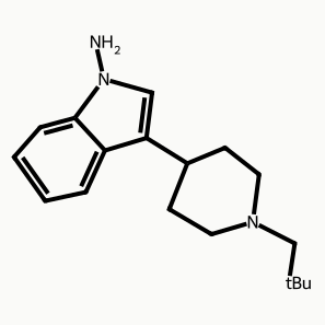 CC(C)(C)CN1CCC(c2cn(N)c3ccccc23)CC1